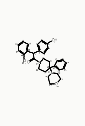 O=C([C](c1ccc(O)cc1)c1ccccc1Cl)N1CCC(c2ccccc2)(N2CCOCC2)CC1